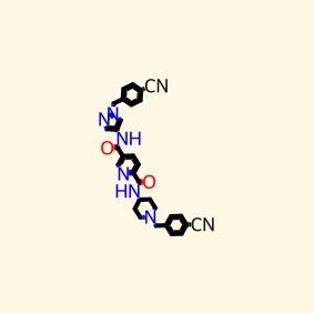 N#Cc1ccc(CN2CCC(NC(=O)c3ccc(C(=O)Nc4cnn(Cc5ccc(C#N)cc5)c4)cn3)CC2)cc1